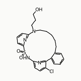 O=S1(=O)Nc2ccc(Cl)c(n2)-c2ccccc2CCCCCN(CCCO)c2cccc1n2